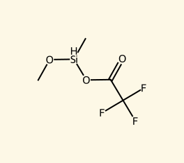 CO[SiH](C)OC(=O)C(F)(F)F